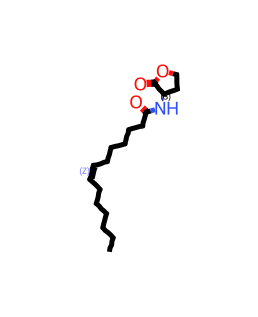 CCCCCC/C=C\CCCCCC(=O)N[C@H]1CCOC1=O